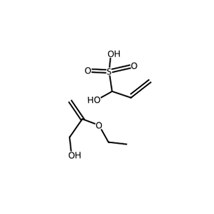 C=C(CO)OCC.C=CC(O)S(=O)(=O)O